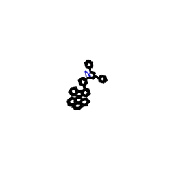 c1ccc(-c2cc(-c3ccccc3)nc(-c3cccc(-c4cccc5c4-c4ccccc4C54c5cccc6ccc7cccc4c7c56)c3)c2)cc1